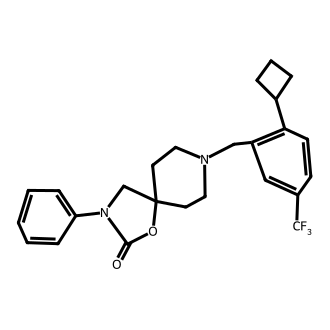 O=C1OC2(CCN(Cc3cc(C(F)(F)F)ccc3C3CCC3)CC2)CN1c1ccccc1